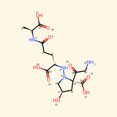 C[C@H](NC(=O)CC[C@H](NN1C[C@H](O)C[C@]1(C(=O)O)C(=O)CN)C(=O)O)C(=O)O